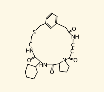 O=C1Cc2cccc(c2)CSCCNC(=O)C(C2CCCCC2)NC(=O)C2CCCN2C(=O)CCN1